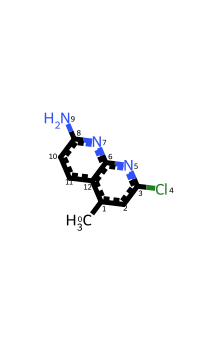 Cc1cc(Cl)nc2nc(N)ccc12